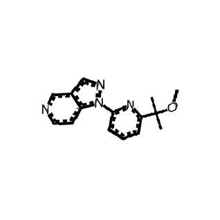 COC(C)(C)c1cccc(-n2ncc3cnccc32)n1